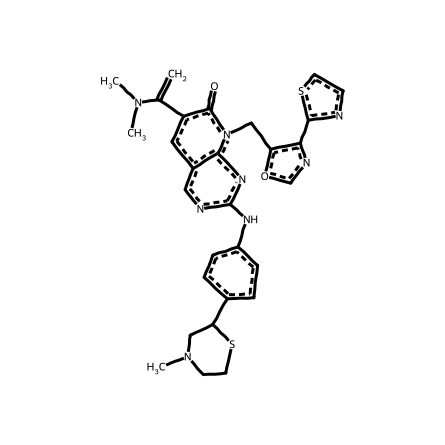 C=C(c1cc2cnc(Nc3ccc(C4CN(C)CCS4)cc3)nc2n(Cc2ocnc2-c2nccs2)c1=O)N(C)C